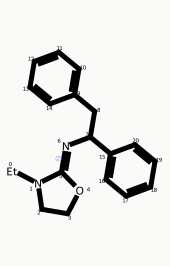 CCN1CCO/C1=N\C(Cc1ccccc1)c1ccccc1